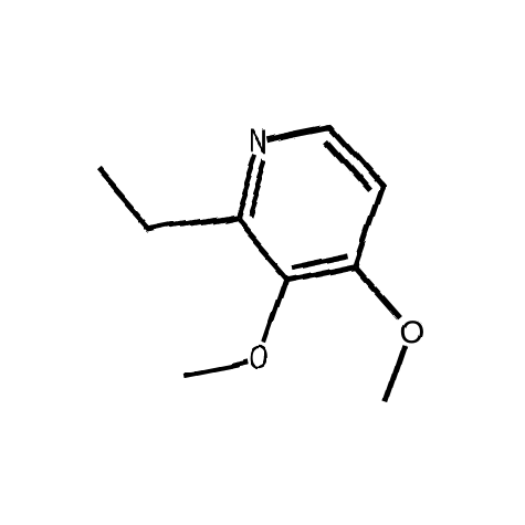 CCc1nccc(OC)c1OC